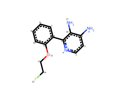 Nc1ccnc(-c2ccccc2OCCF)c1N